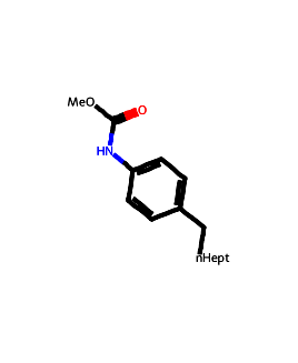 CCCCCCCCc1ccc(NC(=O)OC)cc1